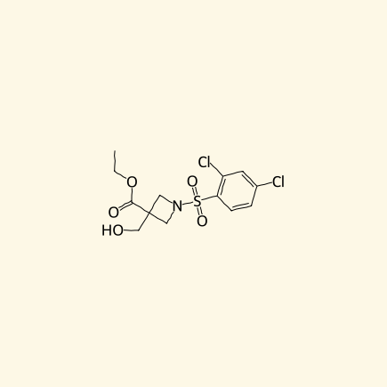 CCOC(=O)C1(CO)CN(S(=O)(=O)c2ccc(Cl)cc2Cl)C1